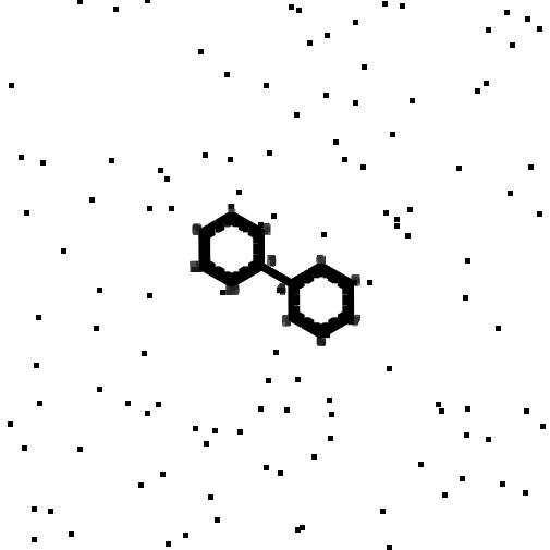 [c]1[c]cc(-c2c[c][c]cc2)cc1